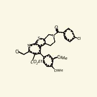 CCOC(=O)c1c(CCl)nc2sc3c(c2c1-c1ccc(OC)c(OC)c1)CCN(C(=O)c1ccc(Cl)cc1)C3